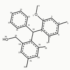 COc1cc(C)cc(C)c1C(c1ccccc1)c1c(C)cc(C)cc1CO